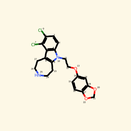 Clc1ccc2c(c1Cl)c1c(n2CCOc2ccc3c(c2)OCO3)CCNCC1